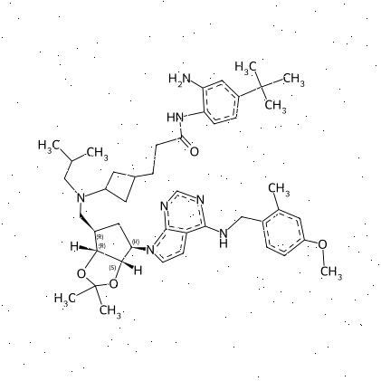 COc1ccc(CNc2ncnc3c2ccn3[C@@H]2C[C@H](CN(CC(C)C)C3CC(CCC(=O)Nc4ccc(C(C)(C)C)cc4N)C3)[C@H]3OC(C)(C)O[C@H]32)c(C)c1